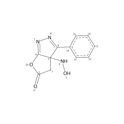 O=C1CC2(NO)C(=NN=C2c2ccccc2)O1